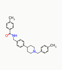 Cc1ccc(CN2CCC(c3ccc(CNC(=O)c4ccc(C)cc4)cc3)CC2)cc1